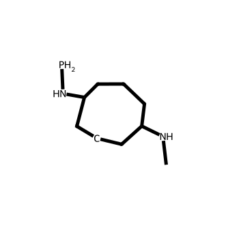 CNC1CCCC(NP)CCC1